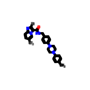 CCc1nc2ccc(C(F)(F)F)cn2c1C(=O)NCc1ccc(N2CCN(c3ccc(C)cc3)CC2)cc1